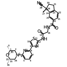 C[C@@H]1CN(c2cccc(-c3csc(NC(=O)CNC(=O)c4ccc5c(c4)[C@](C)(C#N)CC5)n3)n2)C[C@H](C)O1